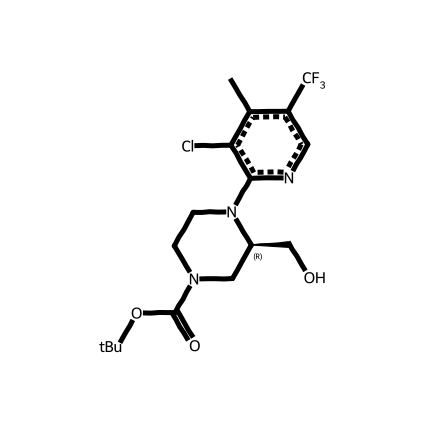 Cc1c(C(F)(F)F)cnc(N2CCN(C(=O)OC(C)(C)C)C[C@@H]2CO)c1Cl